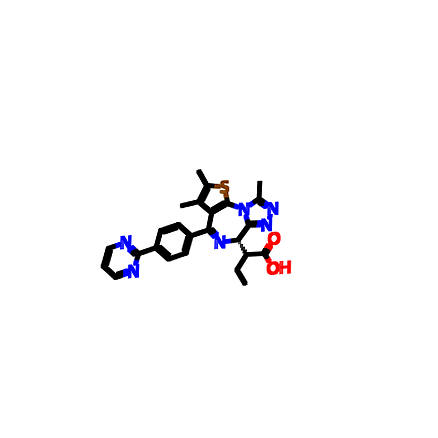 CCC(C(=O)O)[C@@H]1N=C(c2ccc(-c3ncccn3)cc2)c2c(sc(C)c2C)-n2c(C)nnc21